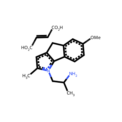 COc1ccc2c(c1)Cc1cc(C)n(CC(C)N)c1-2.O=C(O)C=CC(=O)O